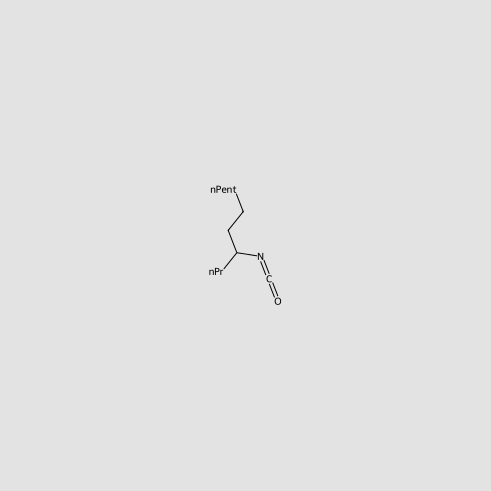 CCCCCCCC(CCC)N=C=O